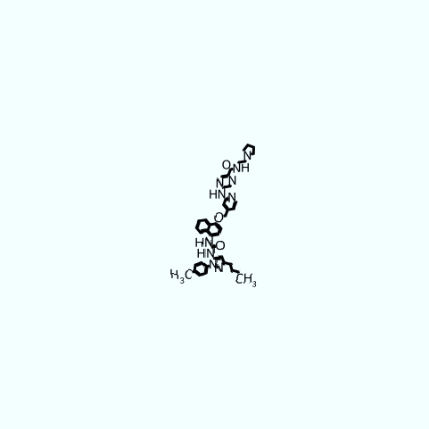 CCCCc1cc(NC(=O)Nc2ccc(OCc3ccnc(Nc4cnc(C(=O)NCCN5CCCC5)cn4)c3)c3ccccc23)n(-c2ccc(C)cc2)n1